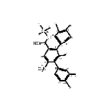 Cc1ccc(-c2c(C(C#N)O[Si](C)(C)C)cc([N+](=O)[O-])c(-c3ccc(C)c(C)c3)c2C)cc1C